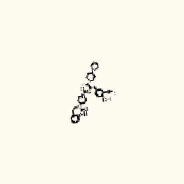 Bc1cc(C[C@@H](OC(=O)N2CCC(N3CCc4ccccc4NC3=O)CC2)C(=O)N2CCC(N3CCCC3)CC2)ccc1O